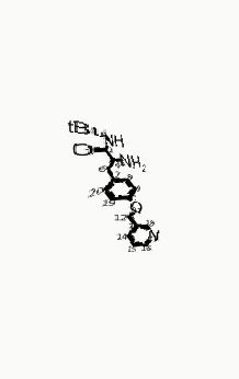 CC(C)(C)NC(=O)C(N)Cc1ccc(OCc2cccnc2)cc1